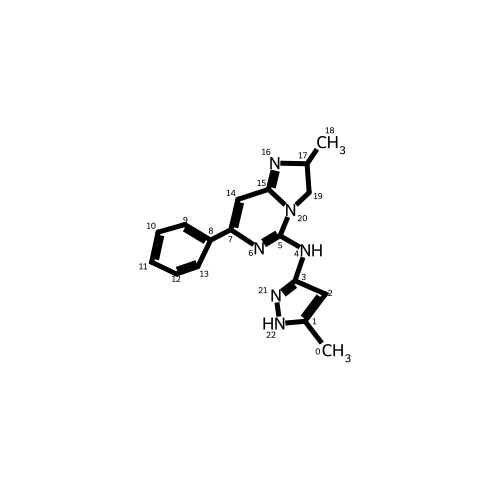 Cc1cc(NC2=NC(c3ccccc3)=CC3=NC(C)CN32)n[nH]1